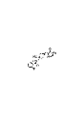 O=C(NCC1(O)CCN(Cc2ncc[nH]c2=O)CC1)c1ccccc1F